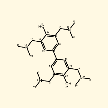 CN(C)Cc1cc(-c2cc(CN(C)C)c(O)c(CN(C)C)c2)cc(CN(C)C)c1O